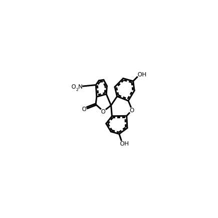 O=C1OC2(c3ccc(O)cc3Oc3cc(O)ccc32)c2cccc([N+](=O)[O-])c21